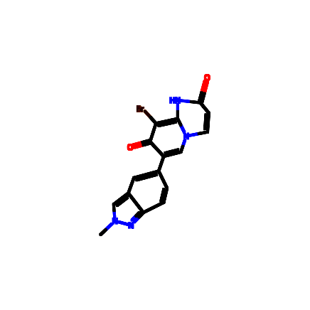 Cn1cc2cc(-c3cn4ccc(=O)[nH]c4c(Br)c3=O)ccc2n1